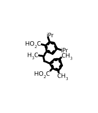 Cc1cc(C)c(C(=O)O)c(CC(C)c2cc(C(C)C)cc(C(C)C)c2C(=O)O)c1